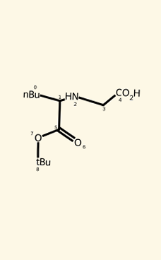 CCCCC(NCC(=O)O)C(=O)OC(C)(C)C